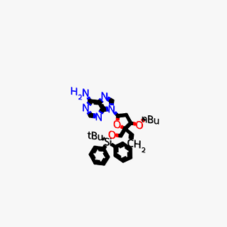 C=CC1(CO[Si](c2ccccc2)(c2ccccc2)C(C)(C)C)OC(n2cnc3c(N)ncnc32)CC1OCCCC